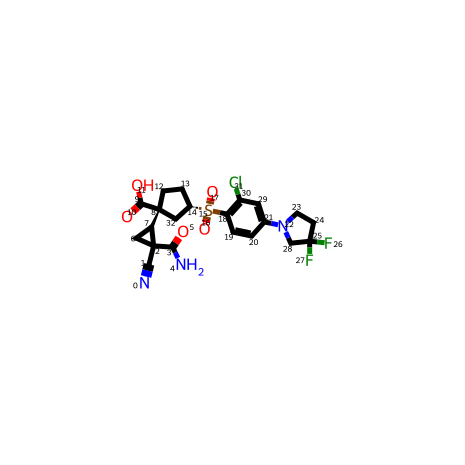 N#CC1(C(N)=O)CC1[C@@]1(C(=O)O)CC[C@H](S(=O)(=O)c2ccc(N3CCC(F)(F)C3)cc2Cl)C1